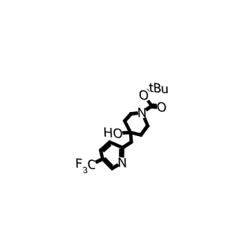 CC(C)(C)OC(=O)N1CCC(O)(Cc2ccc(C(F)(F)F)cn2)CC1